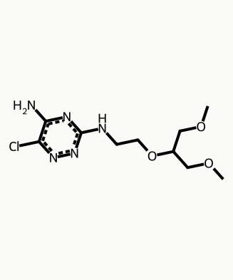 COCC(COC)OCCNc1nnc(Cl)c(N)n1